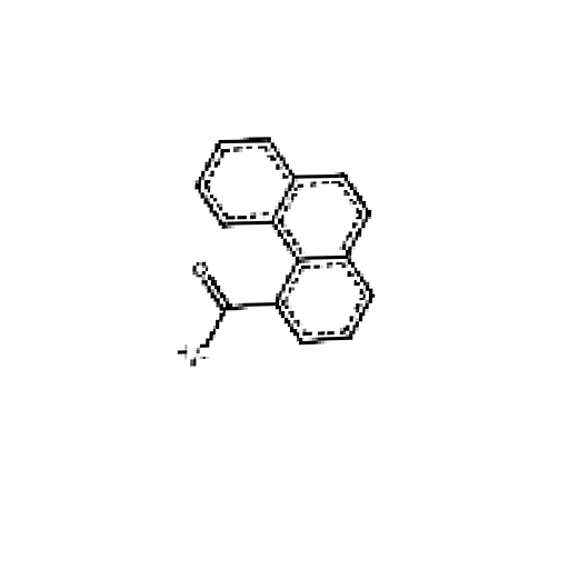 CC(=O)c1cccc2ccc3ccccc3c12